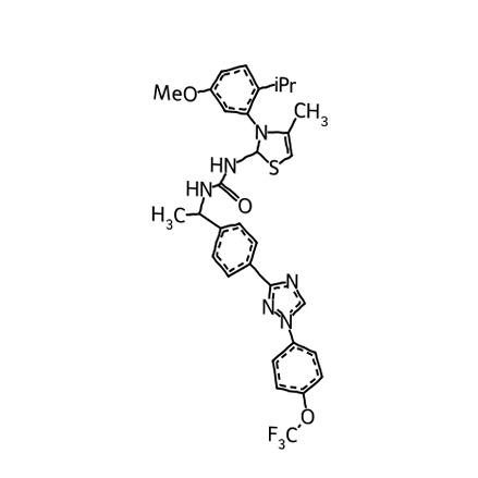 COc1ccc(C(C)C)c(N2C(C)=CSC2NC(=O)NC(C)c2ccc(-c3ncn(-c4ccc(OC(F)(F)F)cc4)n3)cc2)c1